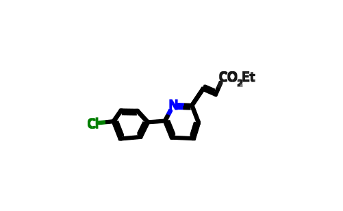 CCOC(=O)C=Cc1cccc(-c2ccc(Cl)cc2)n1